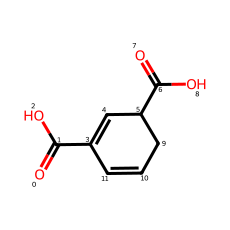 O=C(O)C1=CC(C(=O)O)CC=C1